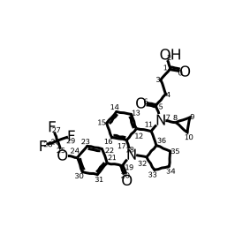 O=C(O)CCC(=O)N(C1CC1)C1c2ccccc2N(C(=O)c2ccc(OC(F)(F)F)cc2)C2CCCC21